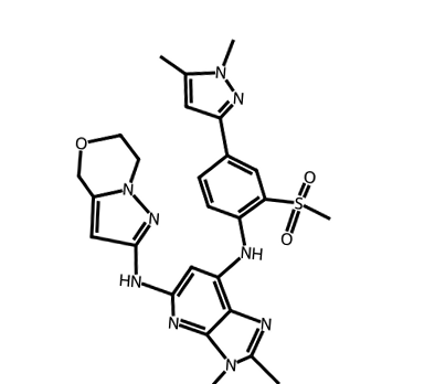 Cc1cc(-c2ccc(Nc3cc(Nc4cc5n(n4)CCOC5)nc4c3nc(C)n4C)c(S(C)(=O)=O)c2)nn1C